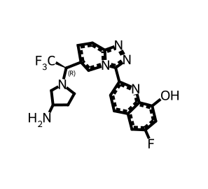 NC1CCN([C@H](c2ccc3nnc(-c4ccc5cc(F)cc(O)c5n4)n3c2)C(F)(F)F)C1